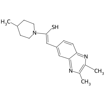 Cc1nc2ccc(/C=C(\S)N3CCC(C)CC3)cc2nc1C